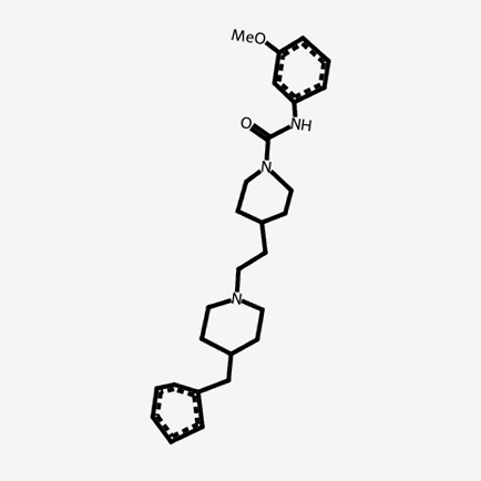 COc1cccc(NC(=O)N2CCC(CCN3CCC(Cc4ccccc4)CC3)CC2)c1